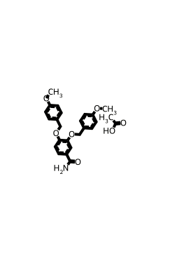 CC(=O)O.COc1ccc(COc2ccc(C(N)=O)cc2OCc2ccc(OC)cc2)cc1